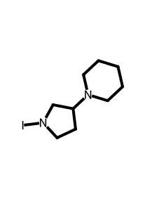 IN1CCC(N2CCCCC2)C1